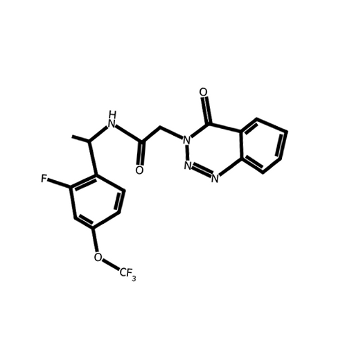 CC(NC(=O)Cn1nnc2ccccc2c1=O)c1ccc(OC(F)(F)F)cc1F